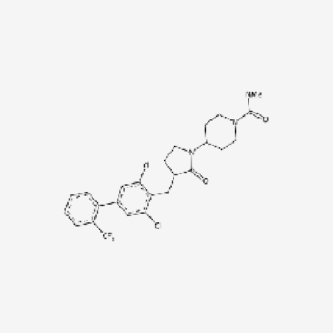 CNC(=O)N1CCC(N2CCC(Cc3c(Cl)cc(-c4ccccc4C(F)(F)F)cc3Cl)C2=O)CC1